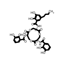 CCCCc1cc(O)c(O)c(C(=O)N[C@H]2COC(=O)[C@@H](NC(=O)c3cccc(O)c3O)COC(=O)[C@@H](NC(=O)c3cccc(O)c3O)COC2=O)c1